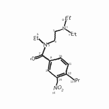 CCN(CC)CCN(CC)C(=O)c1ccc(C(C)C)c([N+](=O)[O-])c1